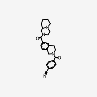 N#Cc1ccc(C(=O)N2CCc3cc(C(=O)N4CCN5CCCCC5C4)ccc3C2)cc1